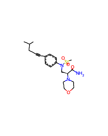 CC(C)CC#Cc1ccc(N(C[C@@H](C(N)=O)N2CCOCC2)S(C)(=O)=O)cc1